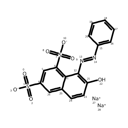 O=S(=O)([O-])c1cc(S(=O)(=O)[O-])c2c(N=Nc3ccccc3)c(O)ccc2c1.[Na+].[Na+]